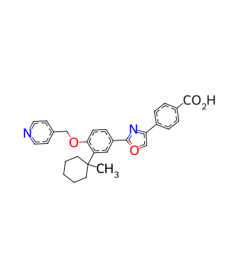 CC1(c2cc(-c3nc(-c4ccc(C(=O)O)cc4)co3)ccc2OCc2ccncc2)CCCCC1